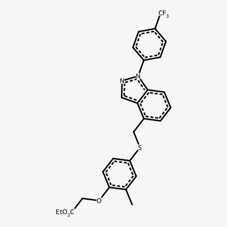 CCOC(=O)COc1ccc(SCc2cccc3c2cnn3-c2ccc(C(F)(F)F)cc2)cc1C